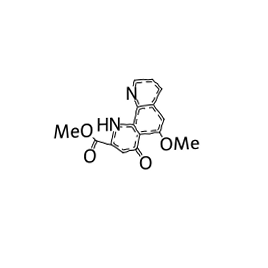 COC(=O)c1cc(=O)c2c(OC)cc3cccnc3c2[nH]1